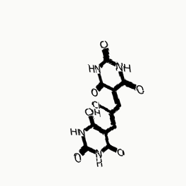 O=C1NC(=O)C(=C/C(Cl)=C/c2c(O)[nH]c(=O)[nH]c2=O)C(=O)N1